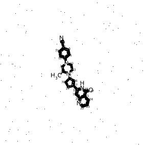 C[C@@H]1CN(c2ccc(C#N)cc2)CCN1[C@@H]1C=C(c2cc3ncccc3c(=O)[nH]2)CC1